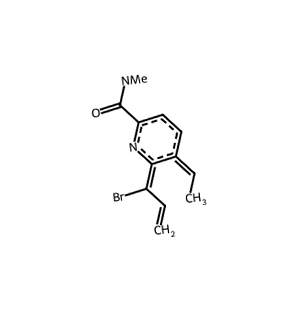 C=C/C(Br)=c1/nc(C(=O)NC)cc/c1=C/C